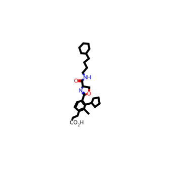 Cc1c(CCC(=O)O)ccc(C2=NC(C(=O)NCCCCC3CCCCC3)CO2)c1C1CCCC1